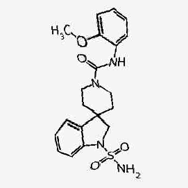 COc1ccccc1NC(=O)N1CCC2(CC1)CN(S(N)(=O)=O)c1ccccc12